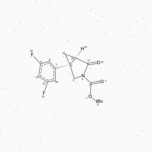 CC(C)(C)OC(=O)N1C[C@@]2(c3cc(F)cc(F)c3)C[C@H]2C1=O